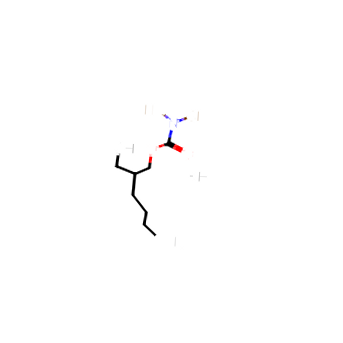 CCCCC(CC)COC(=O)N(S)S.[KH]